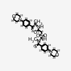 CN(NC(=O)CS(=O)(=O)NN(C)C(=S)c1ccc(N2CCOCC2)cc1)C(=S)c1ccc(N2CCOCC2)cc1